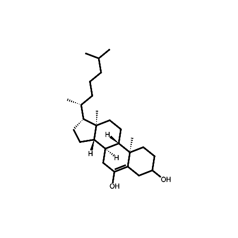 CC(C)CCC[C@@H](C)[C@H]1CC[C@H]2[C@@H]3CC(O)=C4CC(O)CC[C@]4(C)[C@H]3CC[C@]12C